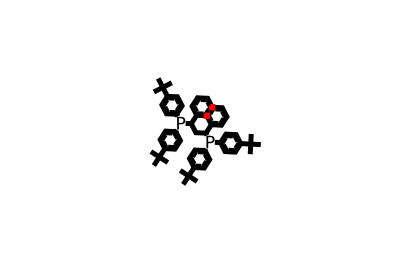 CC(C)(C)c1ccc(P(c2ccc(C(C)(C)C)cc2)C(CC(c2ccccc2)P(c2ccc(C(C)(C)C)cc2)c2ccc(C(C)(C)C)cc2)c2ccccc2)cc1